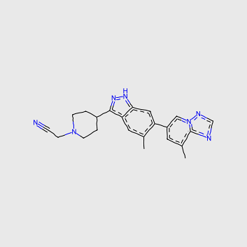 Cc1cc2c(C3CCN(CC#N)CC3)n[nH]c2cc1-c1cc(C)c2ncnn2c1